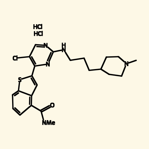 CNC(=O)c1cccc2sc(-c3nc(NCCCC4CCN(C)CC4)ncc3Cl)cc12.Cl.Cl